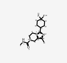 CNC(=O)N1CCn2c(C3CCC(F)(F)CC3)nc(C)c2C1